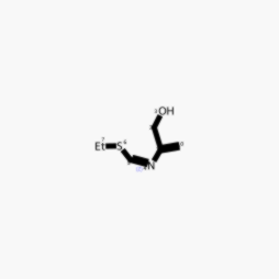 C=C(CO)/N=C\SCC